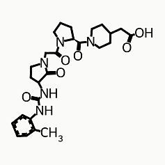 Cc1ccccc1NC(=O)NC1CCN(CC(=O)N2CCC[C@H]2C(=O)N2CCC(CC(=O)O)CC2)C1=O